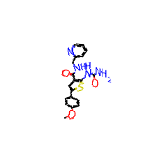 COc1ccc(-c2cc(C(=O)NCc3ccccn3)c(NC(N)=O)s2)cc1